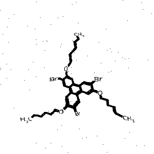 CCCCCCOc1cc2c(cc1Br)c1cc(OCCCCCC)c(Br)cc1c1cc(OCCCCCC)c(Br)cc21